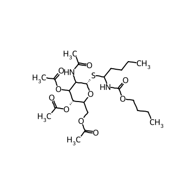 CCCCOC(=O)NC(CCCC)S[C@@H]1OC(COC(C)=O)[C@H](OC(C)=O)C(OC(C)=O)C1NC(C)=O